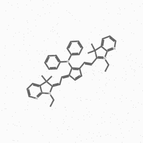 CCN1/C(=C/C=C2\C=CC(/C=C/C3=[N+](CC)c4ncccc4C3(C)C)=C2N(c2ccccc2)c2ccccc2)C(C)(C)c2cccnc21